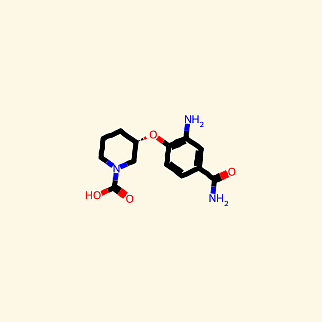 NC(=O)c1ccc(O[C@H]2CCCN(C(=O)O)C2)c(N)c1